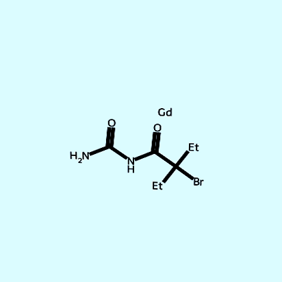 CCC(Br)(CC)C(=O)NC(N)=O.[Gd]